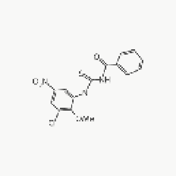 COc1c(Cl)cc([N+](=O)[O-])cc1NC(=S)NC(=O)c1ccccc1